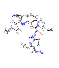 COc1nc(NC(=O)C(=O)N2C[C@@H](C)CC[C@@H]2c2ccc3cc(C#N)c(C4CCN(C)CC4)nc3c2)ccc1C(N)=O